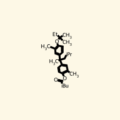 CCC(C)C(=O)Oc1ccc(C(C)(CC(C)C)c2ccc(OC(C)(C)CC)c(C)c2)cc1C